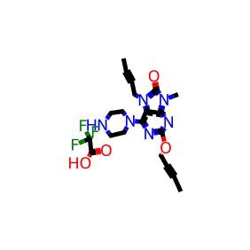 CC#CCOc1nc(N2CCNCC2)c2c(n1)n(C)c(=O)n2CC#CC.O=C(O)C(F)(F)F